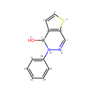 OB1c2ccsc2C=NN1c1ccccc1